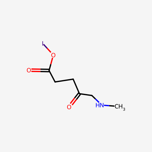 CNCC(=O)CCC(=O)OI